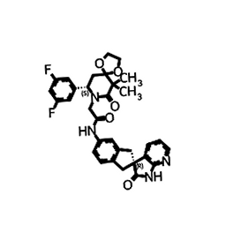 CC1(C)C(=O)N(CC(=O)Nc2ccc3c(c2)C[C@@]2(C3)C(=O)Nc3ncccc32)[C@H](c2cc(F)cc(F)c2)CC12OCCO2